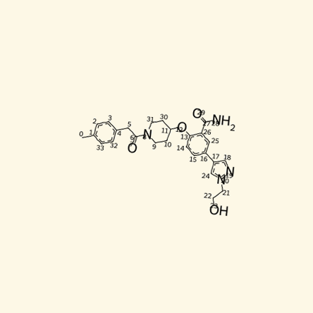 Cc1ccc(CC(=O)N2CCC(Oc3ccc(-c4cnn(CCO)c4)cc3C(N)=O)CC2)cc1